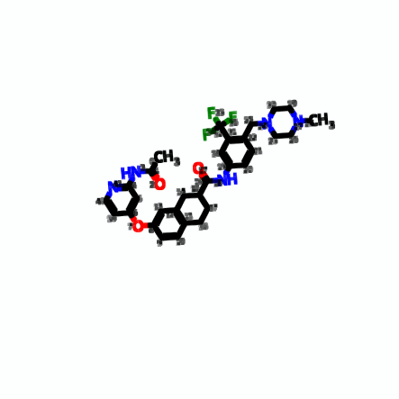 CC(=O)Nc1cc(Oc2ccc3c(c2)CC(C(=O)Nc2ccc(CN4CCN(C)CC4)c(C(F)(F)F)c2)CC3)ccn1